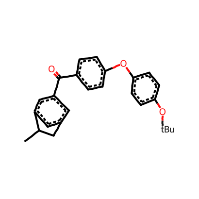 CC1Cc2cc(C(=O)c3ccc(Oc4ccc(OC(C)(C)C)cc4)cc3)cc1c2